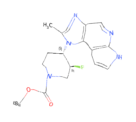 Cc1nc2cnc3[nH]ccc3c2n1[C@H]1CCN(C(=O)OC(C)(C)C)C[C@@H]1F